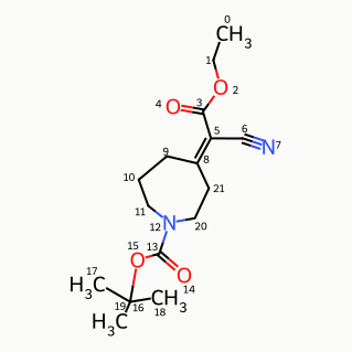 CCOC(=O)C(C#N)=C1CCCN(C(=O)OC(C)(C)C)CC1